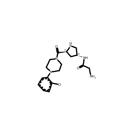 NCC(=O)N[C@H]1CN[C@H](C(=O)N2CCN(c3ccccc3Cl)CC2)C1